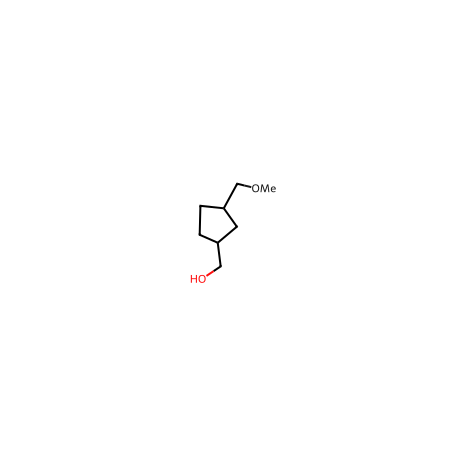 COCC1CCC(CO)C1